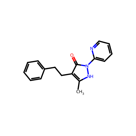 Cc1[nH]n(-c2ccccn2)c(=O)c1CCc1ccccc1